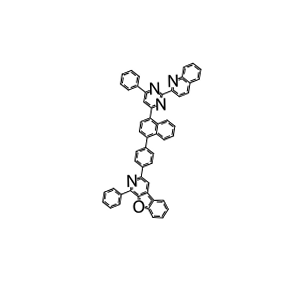 c1ccc(-c2cc(-c3ccc(-c4ccc(-c5cc6c(oc7ccccc76)c(-c6ccccc6)n5)cc4)c4ccccc34)nc(-c3ccc4ccccc4n3)n2)cc1